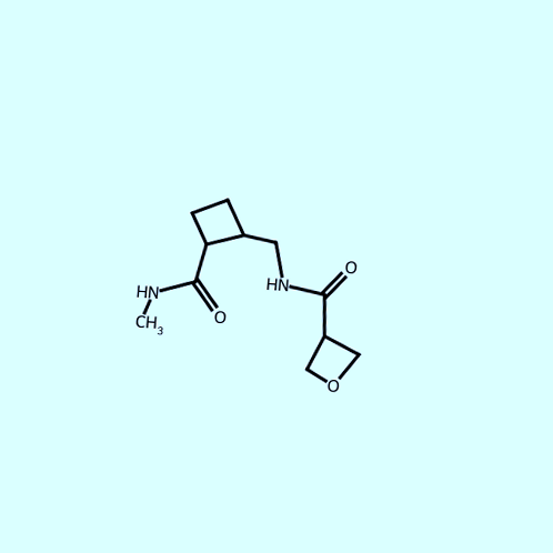 CNC(=O)C1CCC1CNC(=O)C1COC1